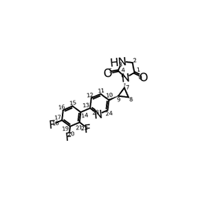 O=C1CNC(=O)N1[C@@H]1C[C@H]1c1ccc(-c2ccc(F)c(F)c2F)nc1